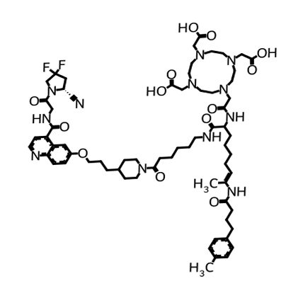 C/C(=C\CCCCC(NC(=O)CN1CCN(CC(=O)O)CCN(CC(=O)O)CCN(CC(=O)O)CC1)C(=O)NCCCCCC(=O)N1CCC(CCCOc2ccc3nccc(C(=O)NCC(=O)N4CC(F)(F)C[C@@H]4C#N)c3c2)CC1)NC(=O)CCCc1ccc(C)cc1